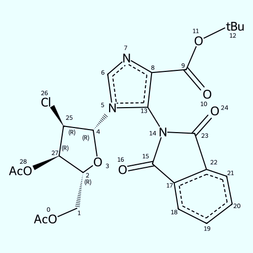 CC(=O)OC[C@H]1O[C@@H](n2cnc(C(=O)OC(C)(C)C)c2N2C(=O)c3ccccc3C2=O)[C@H](Cl)[C@@H]1OC(C)=O